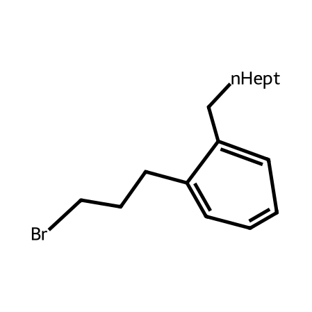 CCCCCCCCc1ccccc1CCCBr